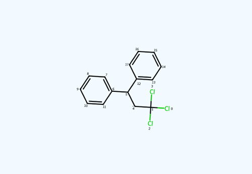 ClC(Cl)(Cl)[CH]C(c1ccccc1)c1ccccc1